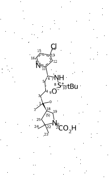 CC(C)(CCCC(N[S+]([O-])C(C)(C)C)c1cc(Cl)ccn1)[C@H]1CN(C(=O)O)C(C)(C)C1